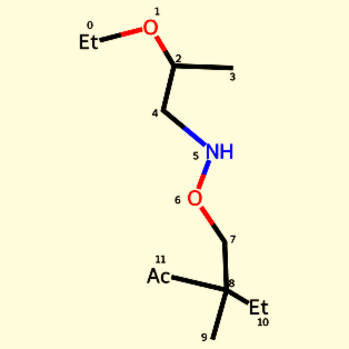 CCOC(C)CNOCC(C)(CC)C(C)=O